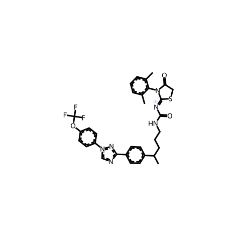 Cc1cccc(C)c1N1C(=O)CS/C1=N\C(=O)NCCCC(C)c1ccc(-c2ncn(-c3ccc(OC(F)(F)F)cc3)n2)cc1